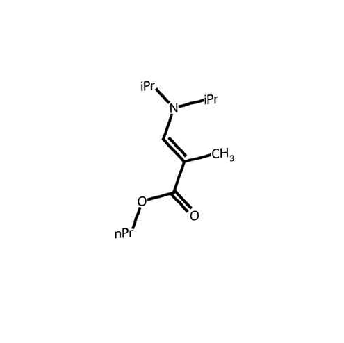 CCCOC(=O)C(C)=CN(C(C)C)C(C)C